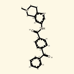 CN1CCc2ncc(NC(=O)c3ccc(C(=O)c4ccccc4)cc3)cc2C1